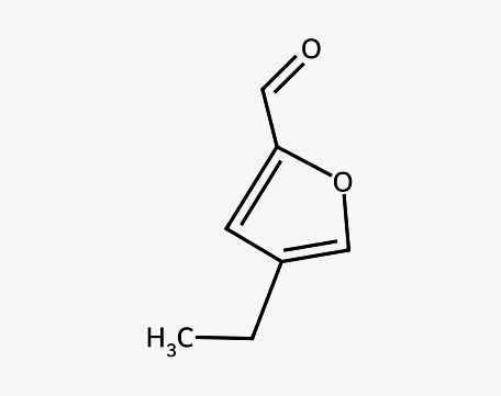 CCc1coc(C=O)c1